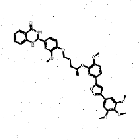 C=C(CCCOc1ccc(C2NC(=O)c3ccccc3N2)cc1OC)Oc1cc(-c2cc(-c3cc(OC)c(OC)c(OC)c3)no2)ccc1OC